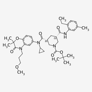 CCc1ccc(C)cc1NC(=O)[C@H]1C[C@@H](C(=O)N(c2ccc3c(c2)N(CCCOC)C(=O)C(C)(C)O3)C2CC2)CN(C(=O)OC(C)(C)C)C1